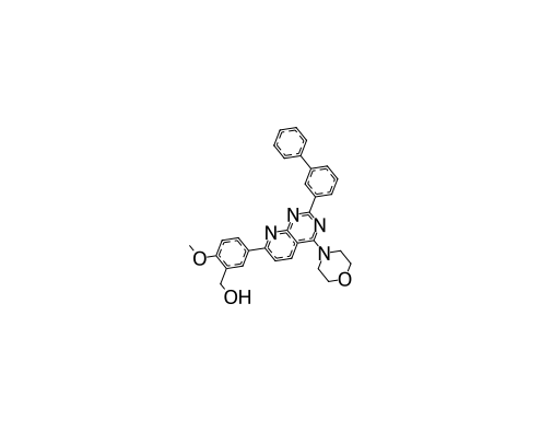 COc1ccc(-c2ccc3c(N4CCOCC4)nc(-c4cccc(-c5ccccc5)c4)nc3n2)cc1CO